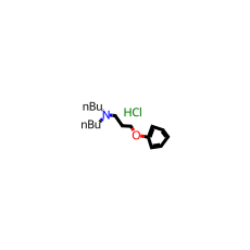 CCCCN(CCCC)CCCOc1ccccc1.Cl